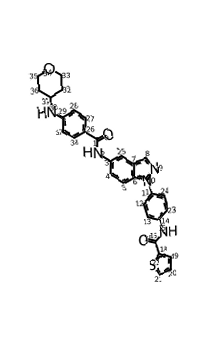 O=C(Nc1ccc2c(cnn2-c2ccc(NC(=O)c3cccs3)cc2)c1)c1ccc(NC2CCOCC2)cc1